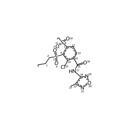 CCCS(=O)(=O)c1c(S(C)(=O)=O)ccc(C(=O)Nc2nonc2C)c1Cl